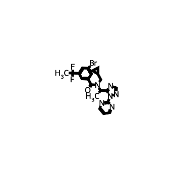 CC(c1ncnn1-c1ncccn1)N(CC1CC1)C(=O)c1cc(Br)cc(C(C)(F)F)c1